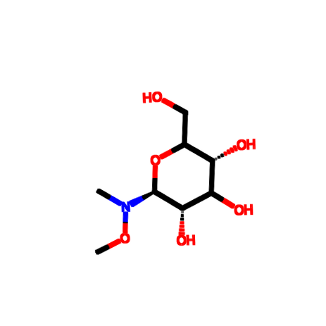 CON(C)[C@H]1OC(CO)[C@H](O)C(O)[C@@H]1O